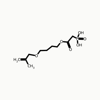 C=C(C)COCCCCOC(=O)CP(=O)(O)O